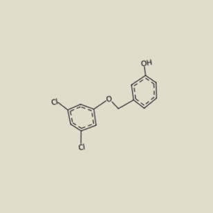 Oc1cccc(COc2cc(Cl)cc(Cl)c2)c1